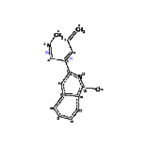 C=C/C=C(\C=N/C)c1cc2ccccc2c(Cl)n1